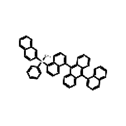 C[Si](c1ccccc1)(c1ccc2ccccc2c1)c1cccc2c(-c3c4ccccc4c(-c4cccc5ccccc45)c4ccccc34)cccc12